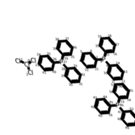 [Cl][Cr]([Cl])[Cl].c1ccc(P(c2ccccc2)c2ccccc2)cc1.c1ccc(P(c2ccccc2)c2ccccc2)cc1.c1ccc(P(c2ccccc2)c2ccccc2)cc1